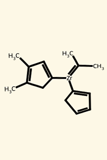 CC1=C(C)C[C]([Zr]([C]2=CC=CC2)=[C](C)C)=C1